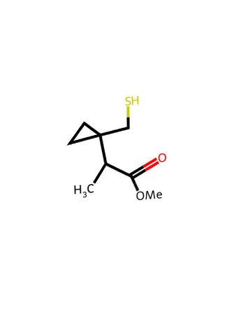 COC(=O)C(C)C1(CS)CC1